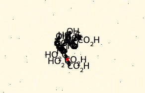 CCOCCn1c(CC2CCN(CCO)CC2)nc2cccnc21.CCOCCn1c(CC2CCN(CCO)CC2)nc2cccnc21.O=C(O)C=CC(=O)O.O=C(O)C=CC(=O)O.O=C(O)C=CC(=O)O